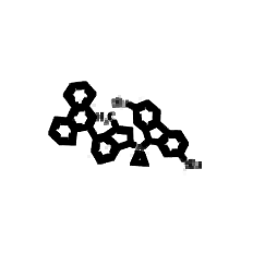 CC1=C[CH]([Zr]2([CH]3c4cc(C(C)(C)C)ccc4-c4ccc(C(C)(C)C)cc43)[CH2][CH2]2)c2cccc(-c3cc4ccccc4c4ccccc34)c21